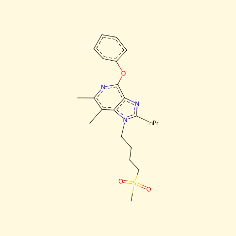 CCCc1nc2c(Oc3ccccc3)nc(C)c(C)c2n1CCCCS(C)(=O)=O